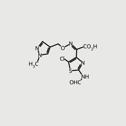 Cn1cc(CON=C(C(=O)O)c2nc(NC=O)sc2Cl)cn1